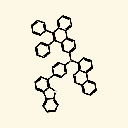 c1ccc(-c2c(-c3ccccc3)c3cc(N(c4ccc(-c5cccc6c5sc5ccccc56)cc4)c4cccc5c4ccc4ccccc45)ccc3c3ccccc23)cc1